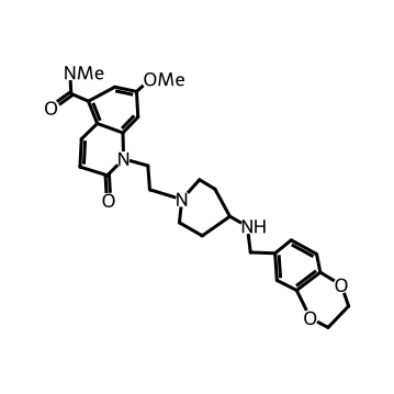 CNC(=O)c1cc(OC)cc2c1ccc(=O)n2CCN1CCC(NCc2ccc3c(c2)OCCO3)CC1